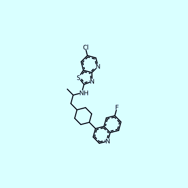 CC(CC1CCC(c2ccnc3ccc(F)cc23)CC1)Nc1nc2ncc(Cl)cc2s1